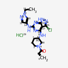 C=CC(=O)N1CCC[C@@H](Nc2nc(Nc3cnn(CC)c3)nc3[nH]nc(Cl)c23)C1.Cl